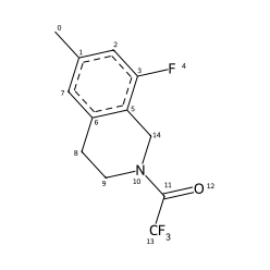 Cc1cc(F)c2c(c1)CCN(C(=O)C(F)(F)F)C2